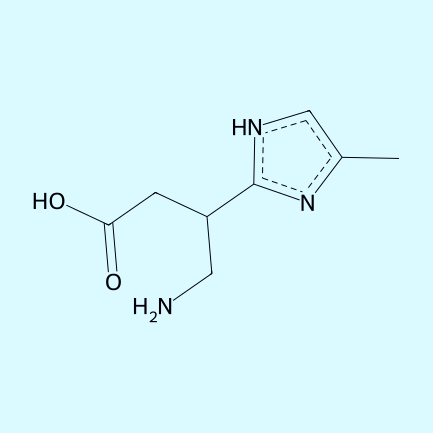 Cc1c[nH]c(C(CN)CC(=O)O)n1